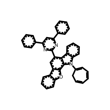 C1=CC=C(n2c3ccccc3c3c(-c4nc(-c5ccccc5)cc(-c5ccccc5)n4)cc4c5ccccc5oc4c32)CC=C1